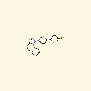 Brc1ccc(-c2ccc(-n3ccc4ccc5ccccc5c43)cc2)cc1